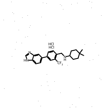 CC1(C)CCC(NCc2ccc(-c3ccc4[nH]cnc4c3)cc2C(F)(F)F)CC1.Cl.Cl